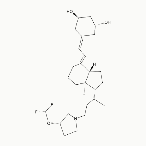 CC(CCN1CC[C@H](OC(F)F)C1)[C@H]1CC[C@H]2/C(=C/C=C3C[C@@H](O)C[C@H](O)C3)CCC[C@]12C